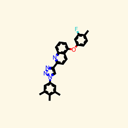 Cc1ccc(Oc2cccc3nc(-c4cn(-c5cc(C)c(C)c(C)c5)nn4)ccc23)cc1F